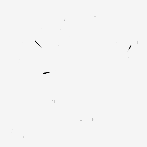 CCC1[C@@H]2CN(C(=O)[C@H](C(C)(C)C)NC(=O)O[C@]3(C)C[C@H]3CCCCC(F)(F)c3c(nc4cc(OC)ccc4c3F)O2)[C@@H]1C(C)=O